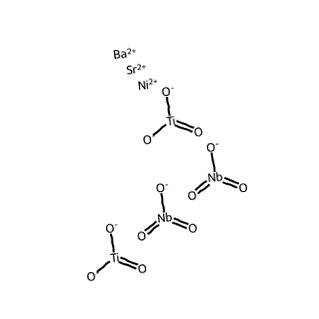 [Ba+2].[Ni+2].[O]=[Nb](=[O])[O-].[O]=[Nb](=[O])[O-].[O]=[Ti]([O-])[O-].[O]=[Ti]([O-])[O-].[Sr+2]